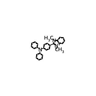 Cn1c(-c2ccc(N(c3ccccc3)c3ccccc3)cc2)[n+](C)c2ccccc21